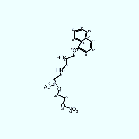 CC(=O)N(CCNCC(O)COc1cccc2ccccc12)OCCO[N+](=O)[O-]